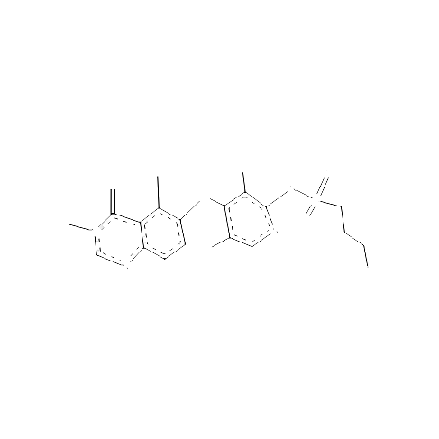 Cc1c(Oc2c(F)cnc(NS(=O)(=O)CCCF)c2F)ccc2ncn(C)c(=O)c12